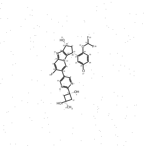 C[C@]1(O)C[C@@](O)(c2ncc(-c3cn4c5c(nc4cc3F)[C@H](O)C[C@@H]5c3cc(Cl)ccc3OC(F)F)cn2)C1